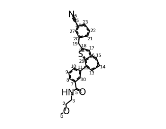 COCCNC(=O)c1cccc(-c2cccc3cc(Cc4cccc(C#N)c4)sc23)c1